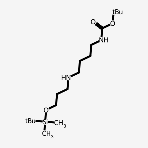 CC(C)(C)OC(=O)NCCCCNCCCO[Si](C)(C)C(C)(C)C